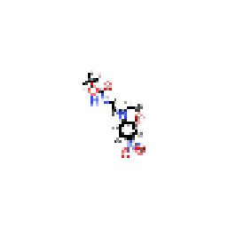 CC(C)(C)OC(=O)NCCN1CCOc2cc([N+](=O)[O-])ccc21